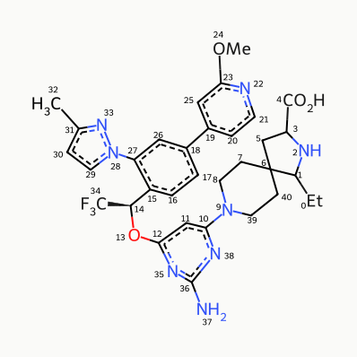 CCC1NC(C(=O)O)CC12CCN(c1cc(O[C@H](c3ccc(-c4ccnc(OC)c4)cc3-n3ccc(C)n3)C(F)(F)F)nc(N)n1)CC2